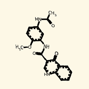 COc1ccc(NC(C)=O)cc1NC(=O)c1c[nH]c2ccccc2c1=O